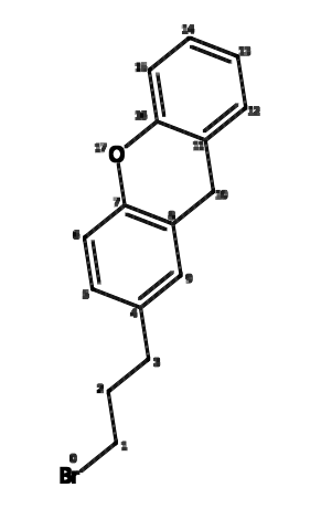 BrCCCc1ccc2c(c1)Cc1ccccc1O2